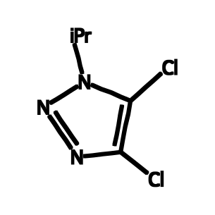 CC(C)n1nnc(Cl)c1Cl